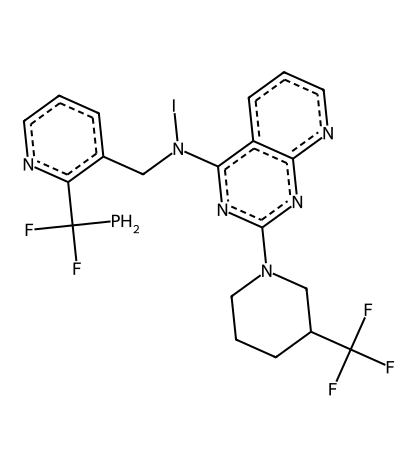 FC(F)(P)c1ncccc1CN(I)c1nc(N2CCCC(C(F)(F)F)C2)nc2ncccc12